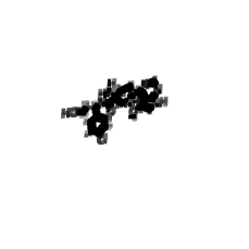 COc1c[nH]c2ncnc(N3CCC(N)(C(=O)N[C@@H](CCO)c4ccc(Cl)cc4)CN3)c12